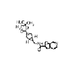 CC(C)(C)OC(=O)N1C[C@@H]2C(CNC(=O)c3cc4ccncc4o3)[C@@H]2C1